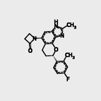 Cc1nc2c3c(c(N4CCC4=O)cc2[nH]1)CC[C@@H](c1ccc(F)cc1C)O3